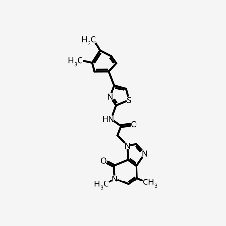 Cc1ccc(-c2csc(NC(=O)Cn3cnc4c(C)cn(C)c(=O)c43)n2)cc1C